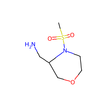 CS(=O)(=O)N1CCOCC1CN